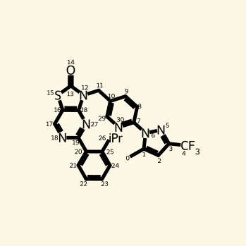 Cc1cc(C(F)(F)F)nn1-c1ccc(Cn2c(=O)sc3cnc(-c4ccccc4C(C)C)nc32)cn1